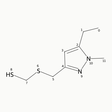 CCc1cc(CSCS)nn1C